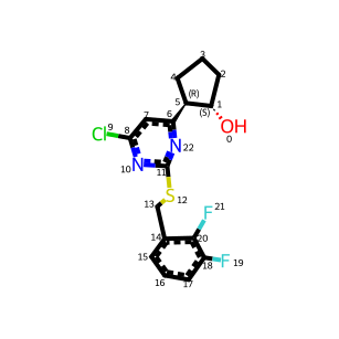 O[C@H]1CCC[C@@H]1c1cc(Cl)nc(SCc2cccc(F)c2F)n1